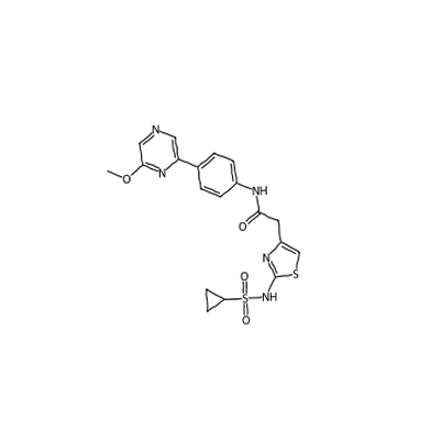 COc1cncc(-c2ccc(NC(=O)Cc3csc(NS(=O)(=O)C4CC4)n3)cc2)n1